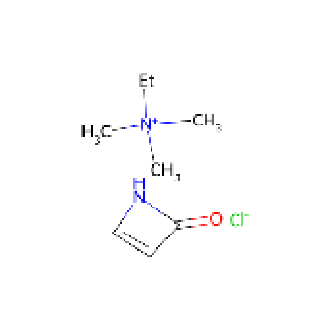 CC[N+](C)(C)C.O=C1C=CN1.[Cl-]